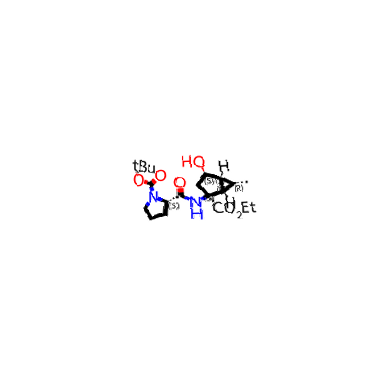 CCOC(=O)[C@]1(NC(=O)[C@@H]2CCCN2C(=O)OC(C)(C)C)C[C@H](O)[C@H]2[C@H](C)[C@H]21